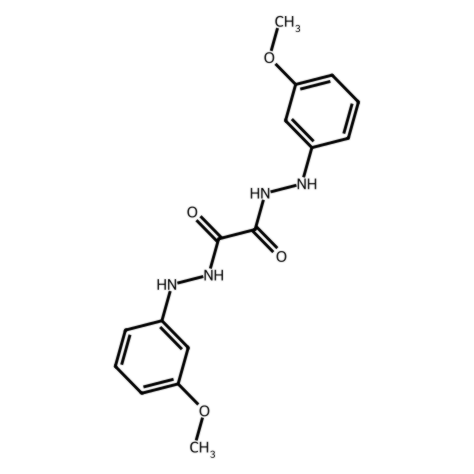 COc1cccc(NNC(=O)C(=O)NNc2cccc(OC)c2)c1